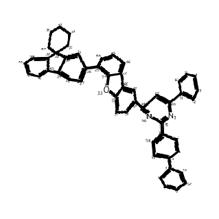 c1ccc(-c2ccc(-c3nc(-c4ccccc4)cc(-c4ccc5oc6c(-c7ccc8c(c7)C7(CCCCC7)c7ccccc7-8)cccc6c5c4)n3)cc2)cc1